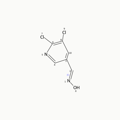 O/N=C/c1cnc(Cl)c(Cl)c1